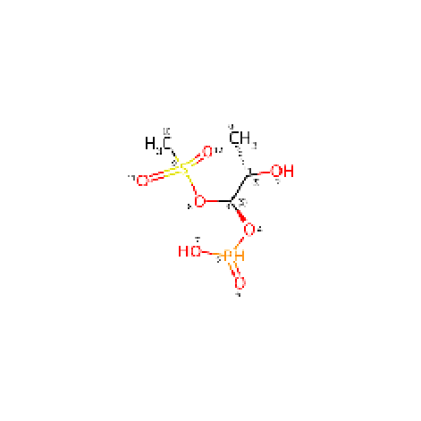 C[C@H](O)[C@@H](O[PH](=O)O)OS(C)(=O)=O